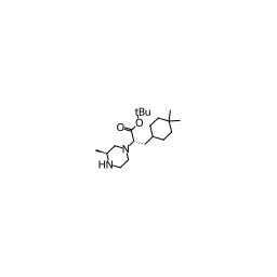 C[C@H]1CN([C@@H](CC2CCC(C)(C)CC2)C(=O)OC(C)(C)C)CCN1